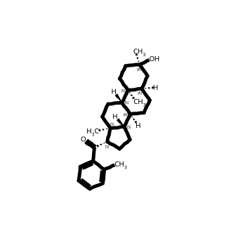 Cc1ccccc1C(=O)[C@H]1CC[C@H]2[C@@H]3CC[C@@H]4C[C@](C)(O)CC[C@]4(C)[C@H]3CC[C@]12C